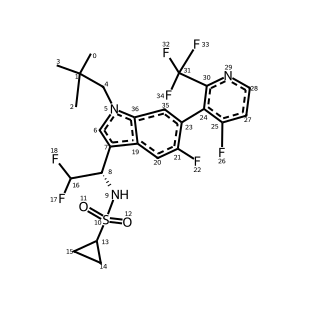 CC(C)(C)Cn1cc([C@H](NS(=O)(=O)C2CC2)C(F)F)c2cc(F)c(-c3c(F)ccnc3C(F)(F)F)cc21